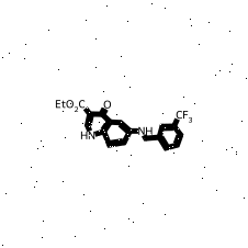 CCOC(=O)c1c[nH]c2ccc(NCc3cccc(C(F)(F)F)c3)cc2c1=O